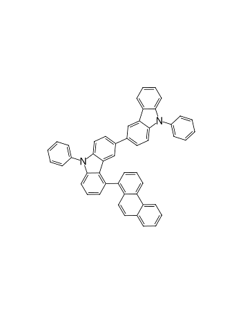 c1ccc(-n2c3ccccc3c3cc(-c4ccc5c(c4)c4c(-c6cccc7c6ccc6ccccc67)cccc4n5-c4ccccc4)ccc32)cc1